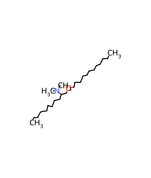 CCCCCCCCCCCCOCC(CCCCCCCCC)N(C)C